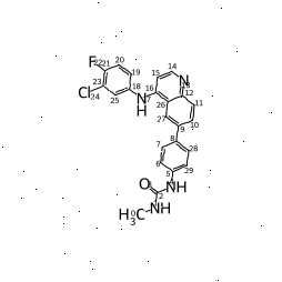 CNC(=O)Nc1ccc(-c2ccc3nccc(Nc4ccc(F)c(Cl)c4)c3c2)cc1